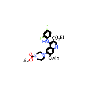 CCOC(=O)c1cnc2cc(OC)c(N3CCCN(C(=O)OC(C)(C)C)CC3)cc2c1Nc1ccc(F)cc1F